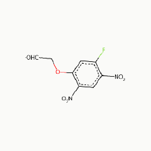 O=[C]COc1cc(F)c([N+](=O)[O-])cc1[N+](=O)[O-]